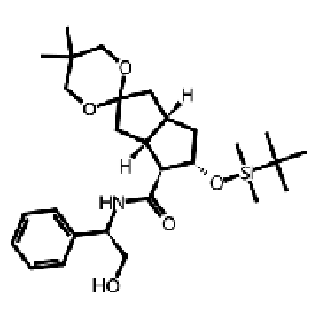 CC1(C)COC2(C[C@@H]3C[C@H](O[Si](C)(C)C(C)(C)C)[C@@H](C(=O)N[C@@H](CO)c4ccccc4)[C@@H]3C2)OC1